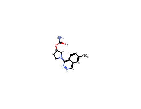 NC(=O)OC1CCN(c2nncc3cc([N+](=O)[O-])ccc23)C1